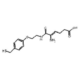 NC(=CCCC(=O)O)C(=O)NCCOc1ccc(CS)cc1